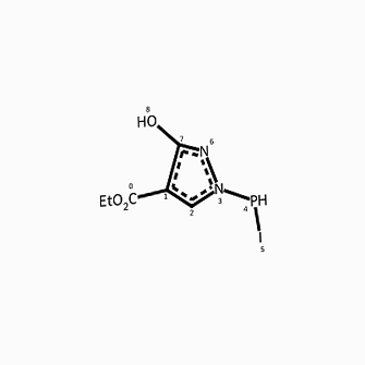 CCOC(=O)c1cn(PI)nc1O